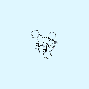 CC(C)C1=Cc2ccccc2[C]1(Cc1ccccc1)[Ti]([Cl])([Cl])([SiH](C)C)[C]1(Cc2ccccc2)C(C(C)C)=Cc2ccccc21